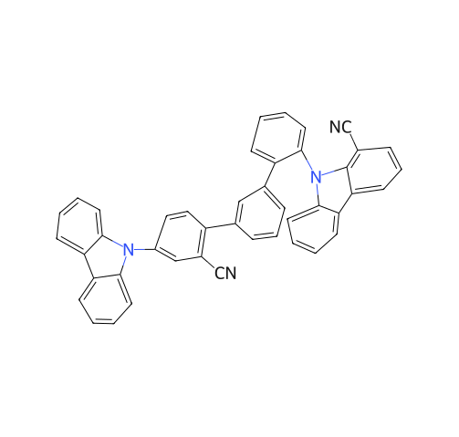 N#Cc1cc(-n2c3ccccc3c3ccccc32)ccc1-c1cccc(-c2ccccc2-n2c3ccccc3c3cccc(C#N)c32)c1